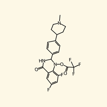 CN1CCC(c2ccc(C3NC(=O)c4cc(F)cc(F)c4N3OC(=O)C(F)(F)F)cc2)CC1